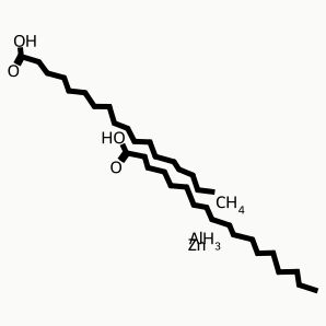 C.CCCCCCCCCCCCCCCCCC(=O)O.CCCCCCCCCCCCCCCCCC(=O)O.[AlH3].[Zn]